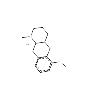 COc1cccc2c1C[C@@H]1CCCN(C)[C@@H]1C2